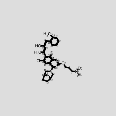 CCN(CC)CCCOc1nc(N2CC3CCC(C2)N3)c2cc(Cl)c(/C(C)=C/C(O)=C\c3ccccc3C)c(F)c2n1